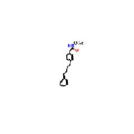 CC(=O)ONC(=O)Cc1ccc(CCCCc2ccccc2)cc1